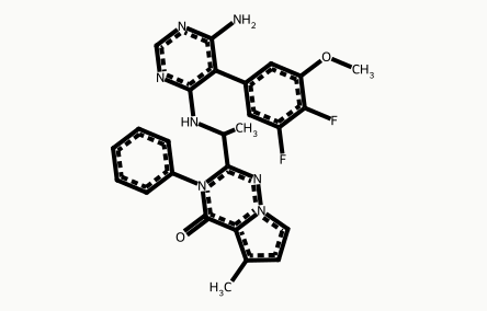 COc1cc(-c2c(N)ncnc2NC(C)c2nn3ccc(C)c3c(=O)n2-c2ccccc2)cc(F)c1F